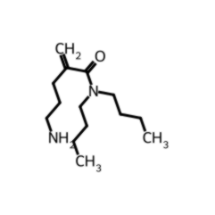 C=C(CCCN)C(=O)N(CCCC)CCCC